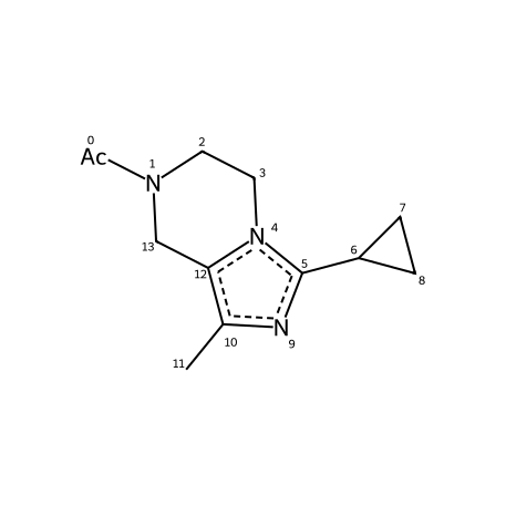 CC(=O)N1CCn2c(C3CC3)nc(C)c2C1